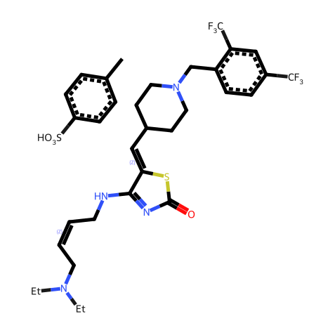 CCN(CC)C/C=C\CNC1=NC(=O)S/C1=C\C1CCN(Cc2ccc(C(F)(F)F)cc2C(F)(F)F)CC1.Cc1ccc(S(=O)(=O)O)cc1